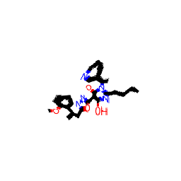 C=C(Cc1nnc(-c2c(O)nc(CCCC)n(C(C)c3cccnc3)c2=O)o1)c1ccccc1OC